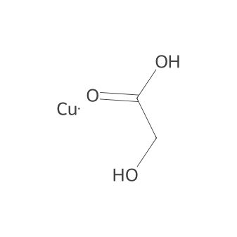 O=C(O)CO.[Cu]